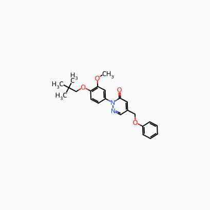 COc1cc(-n2ncc(COc3ccccc3)cc2=O)ccc1OCC(C)(C)C